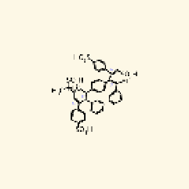 CC/C(=C(\C(=C/S(=O)(=O)O)c1ccc(S(=O)(=O)O)cc1)c1ccc(/C(C)=C(/C(=C\CC(C)S(=O)(=O)O)c2ccc(S(=O)(=O)O)cc2)c2ccccc2)cc1)c1ccccc1